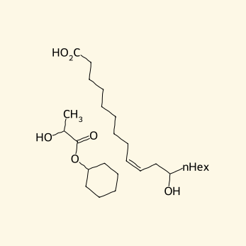 CC(O)C(=O)OC1CCCCC1.CCCCCCC(O)C/C=C\CCCCCCCC(=O)O